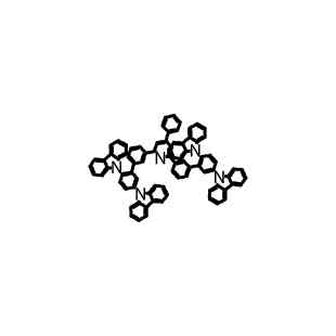 c1ccc(-c2cc(-c3cccc(-c4cc(-n5c6ccccc6c6ccccc65)ccc4-n4c5ccccc5c5ccccc54)c3)nc(-c3cccc(-c4cc(-n5c6ccccc6c6ccccc65)ccc4-n4c5ccccc5c5ccccc54)c3)c2)cc1